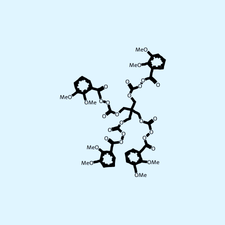 COc1cccc(C(=O)OOC(=O)OCC(COC(=O)OOC(=O)c2cccc(OC)c2OC)(COC(=O)OOC(=O)c2cccc(OC)c2OC)COC(=O)OOC(=O)c2cccc(OC)c2OC)c1OC